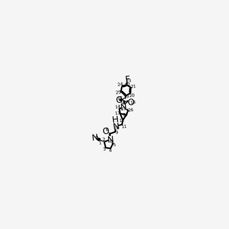 N#C[C@@H]1CCCN1C(=O)CNCC1C2CN(S(=O)(=O)c3ccc(F)cc3)CC12